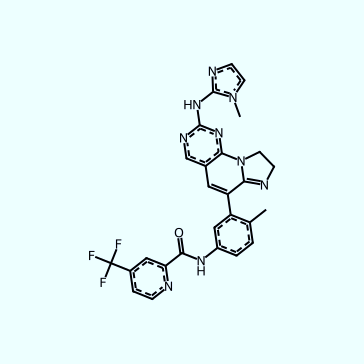 Cc1ccc(NC(=O)c2cc(C(F)(F)F)ccn2)cc1C1=Cc2cnc(Nc3nccn3C)nc2N2CCN=C12